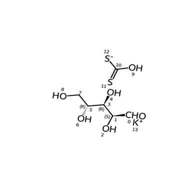 O=C[C@@H](O)[C@H](O)[C@H](O)CO.OC(=S)[S-].[K+]